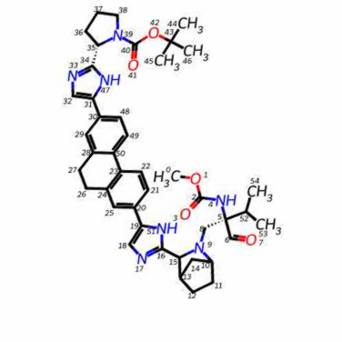 COC(=O)N[C@@](C=O)(CN1C2CCC(C2)C1c1ncc(-c2ccc3c(c2)CCc2cc(-c4cnc([C@@H]5CCCN5C(=O)OC(C)(C)C)[nH]4)ccc2-3)[nH]1)C(C)C